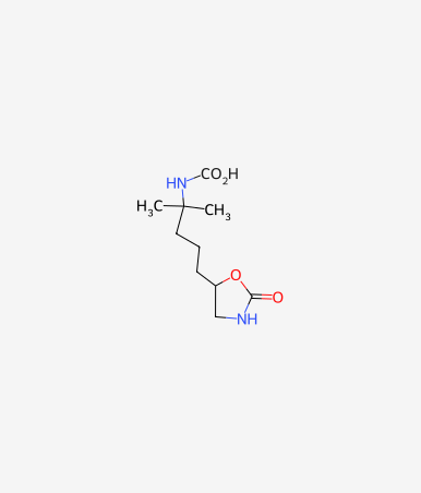 CC(C)(CCCC1CNC(=O)O1)NC(=O)O